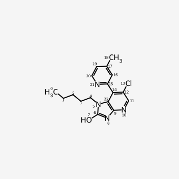 CCCCCn1c(O)nc2ncc(Cl)c(-c3cc(C)ccn3)c21